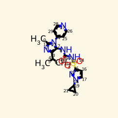 Cc1nc(C(C)C)c(NC(=O)NS(=O)(=O)c2ccn(C3CC3)n2)n1-c1ccncc1